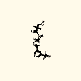 CSCC(C)(C)C(=O)N(C)c1nnc(-c2cncc(C(F)(F)F)c2)s1